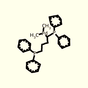 [CH3][Pd]([CH3])[CH](CCCP(c1ccccc1)c1ccccc1)P(c1ccccc1)c1ccccc1